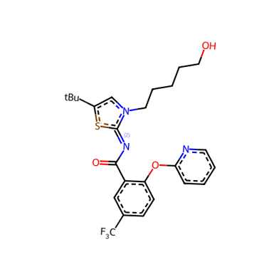 CC(C)(C)c1cn(CCCCCO)/c(=N/C(=O)c2cc(C(F)(F)F)ccc2Oc2ccccn2)s1